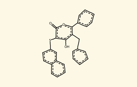 O=c1oc(-c2ccccc2)c(Cc2ccccc2)c(O)c1Sc1ccc2ccccc2c1